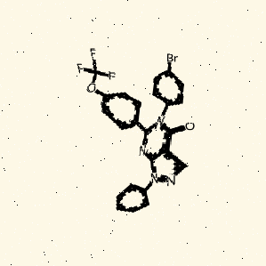 O=c1c2cnn(-c3ccccc3)c2nc(-c2ccc(OC(F)(F)F)cc2)n1-c1ccc(Br)cc1